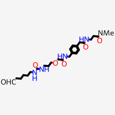 CNC(=O)CCNC(=O)Cc1ccc(CNC(=O)COCCCNC(=O)NCCCCCC=O)cc1